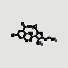 CC1C(OCC(F)(F)F)=NN(C2CC2)C1C(=O)Nc1c(Br)cc(Cl)cc1C(N)=O